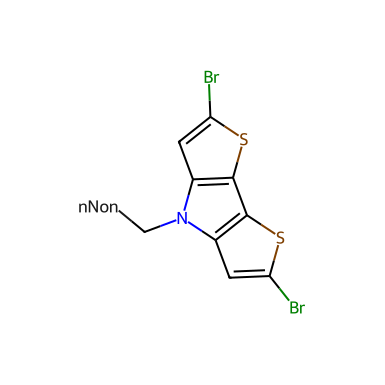 CCCCCCCCCCn1c2cc(Br)sc2c2sc(Br)cc21